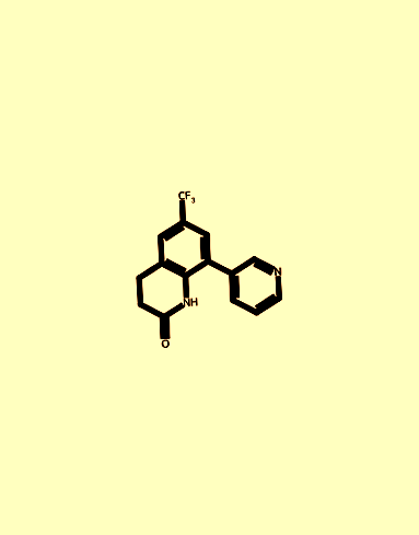 O=C1CCc2cc(C(F)(F)F)cc(-c3cccnc3)c2N1